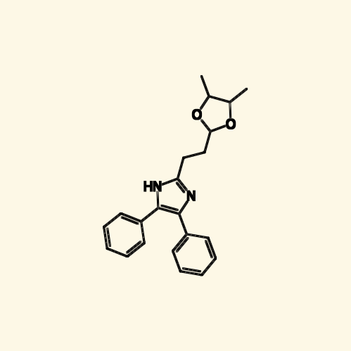 CC1OC(CCc2nc(-c3ccccc3)c(-c3ccccc3)[nH]2)OC1C